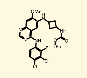 COc1cc2ncnc(Nc3ccc(Cl)c(Cl)c3F)c2cc1NC1CC(NC(=O)OC(C)(C)C)C1